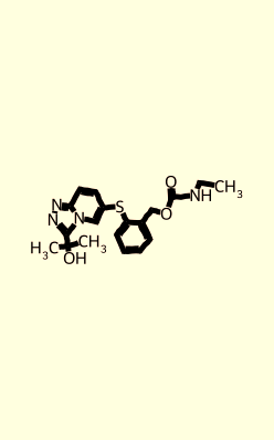 CCNC(=O)OCc1ccccc1Sc1ccc2nnc(C(C)(C)O)n2c1